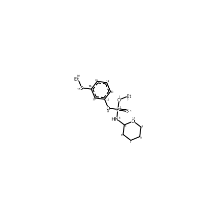 CCOP(=S)(NC1CCCCO1)Oc1cccc(SCC)c1